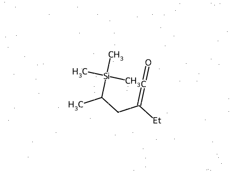 CCC(=C=O)CC(C)[Si](C)(C)C